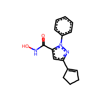 O=C(NO)c1cc(C2=CCCC2)nn1-c1ccccc1